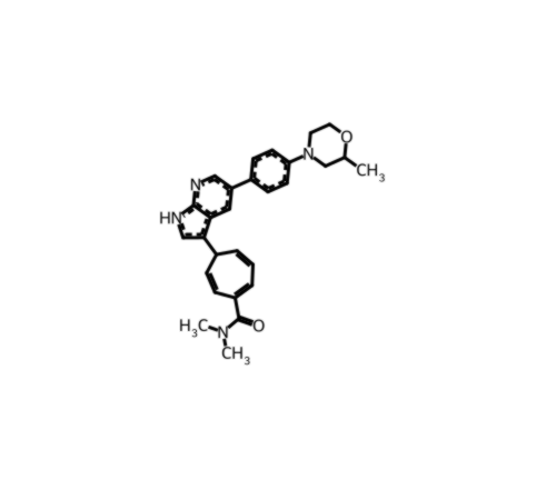 CC1CN(c2ccc(-c3cnc4[nH]cc(C5C=CC=C(C(=O)N(C)C)C=C5)c4c3)cc2)CCO1